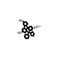 CC(C)(C)c1ccc2c(c1)-c1cc(C(C)(C)C)cc(C(C3=CC=CC3)(c3ccccc3)c3ccccc3)c1C2.[Cl-].[Cl-].[Zr+2]